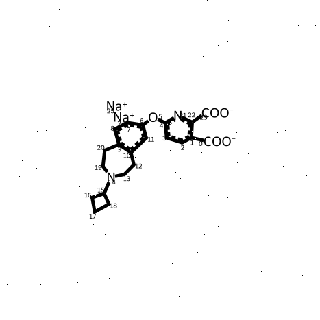 O=C([O-])c1ccc(Oc2ccc3c(c2)CCN(C2CCC2)CC3)nc1C(=O)[O-].[Na+].[Na+]